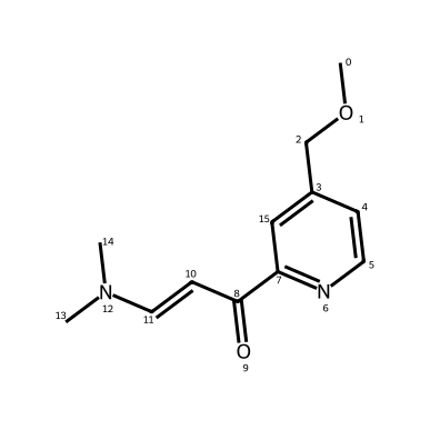 COCc1ccnc(C(=O)C=CN(C)C)c1